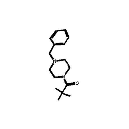 CC(C)(C)C(=O)N1CCN(Cc2ccccc2)CC1